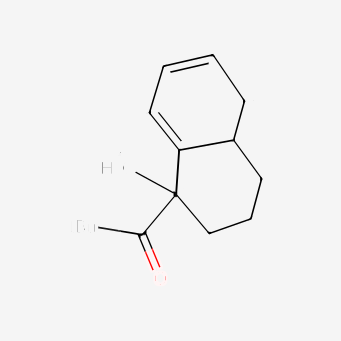 CC(C)(C)C(=O)C1(C)CCCC2CC=CC=C21